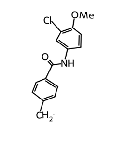 [CH2]c1ccc(C(=O)Nc2ccc(OC)c(Cl)c2)cc1